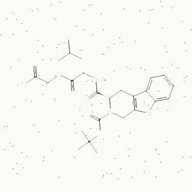 CC(C)C[C@H](NC(=O)[C@H]1Cc2c([nH]c3ccccc23)CN1C(=O)OC(C)(C)C)C(=O)NCC(N)=O